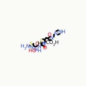 Nc1nc(C(=NO)C(=O)N[C@@H]2C(=O)N3C(C(=O)O)=C(C=C4CCN(CCN5CCNCC5)C4=O)CS[C@H]23)cs1